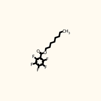 CCCCCCCCOC(=O)c1c(F)c(F)c(F)c(F)c1F